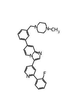 CN1CCN(Cc2cccc(-c3ccn4c(-c5ccnc(-c6ccccc6F)c5)cnc4c3)c2)CC1